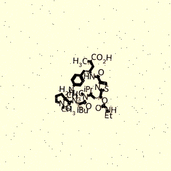 CCNC(=O)O[C@H](CC(C(C)C)N(C)C(=O)[C@@H](NC(=O)[C@@]1(C)CCCN1C)[C@@H](C)CC)c1nc(C(=O)N[C@@H](Cc2ccc(N)cc2)C[C@H](C)C(=O)O)cs1